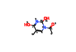 CC(=O)N1C=C(C)C(O)=NC1O